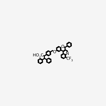 O=C(c1ccccc1)c1cnc2c(C(F)(F)F)cccc2c1-c1cccc(OCc2ccc(C(C(=O)O)C(c3ccccc3)c3ccccc3)cc2)c1